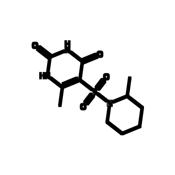 Cc1[nH]c(=O)[nH]c(=O)c1S(=O)(=O)N1CCCCC1C